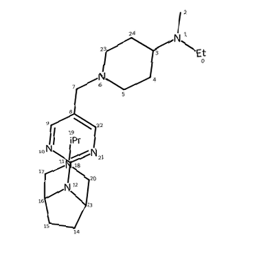 CCN(C)C1CCN(Cc2cnc(N3C4CCC3CN(C(C)C)C4)nc2)CC1